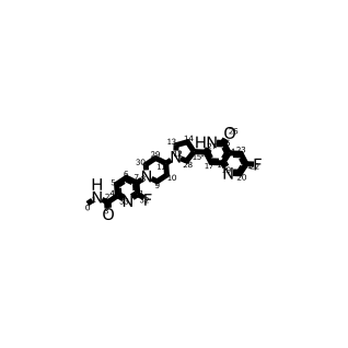 CNC(=O)c1ccc(N2CCC(N3CCC(c4cc5ncc(F)cc5c(=O)[nH]4)C3)CC2)c(F)n1